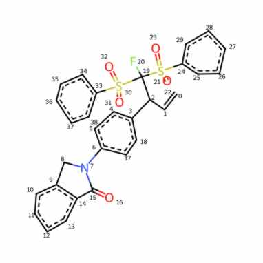 C=CC(c1ccc(N2Cc3ccccc3C2=O)cc1)C(F)(S(=O)(=O)c1ccccc1)S(=O)(=O)c1ccccc1